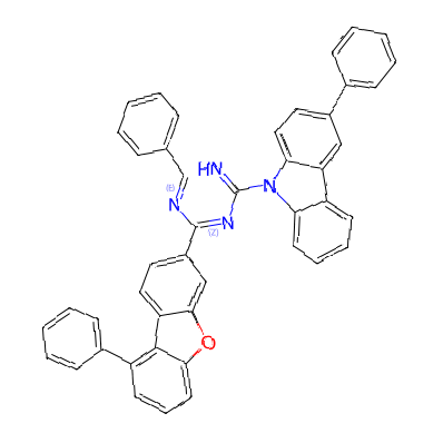 N=C(/N=C(\N=C\c1ccccc1)c1ccc2c(c1)oc1cccc(-c3ccccc3)c12)n1c2ccccc2c2cc(-c3ccccc3)ccc21